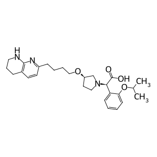 CC(C)Oc1ccccc1[C@H](C(=O)O)N1CC[C@@H](OCCCCc2ccc3c(n2)NCCC3)C1